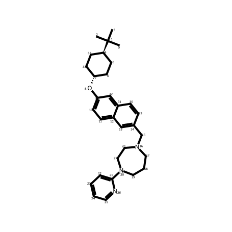 CC(C)(C)[C@H]1CC[C@H](Oc2ccc3cc(CN4CCCN(c5ccccn5)CC4)ccc3c2)CC1